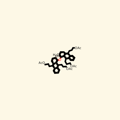 CC(=O)OCCCc1c2ccccc2c(CCCOC(C)=O)c2c(Oc3c(C)ccc4c(CCCOC(C)=O)c5ccccc5c(CCCOC(C)=O)c34)c(C)ccc12